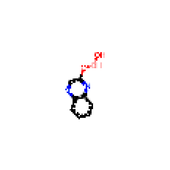 OBOc1cnc2ccccc2n1